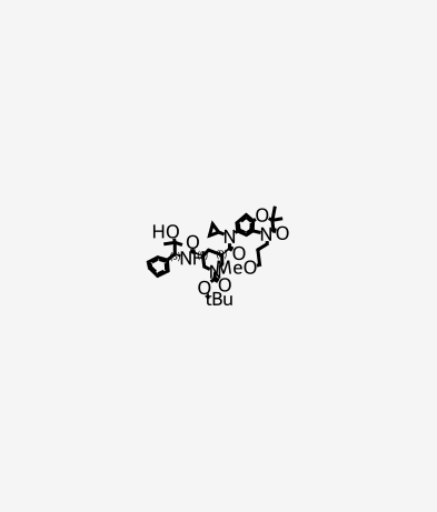 COCCCN1C(=O)C(C)(C)Oc2ccc(N(C(=O)[C@@H]3C[C@H](C(=O)N[C@@H](c4ccccc4)C(C)(C)O)CN(C(=O)OC(C)(C)C)C3)C3CC3)cc21